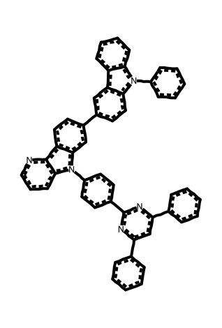 c1ccc(-c2cc(-c3ccccc3)nc(-c3ccc(-n4c5cc(-c6ccc7c(c6)c6ccccc6n7-c6ccccc6)ccc5c5ncccc54)cc3)n2)cc1